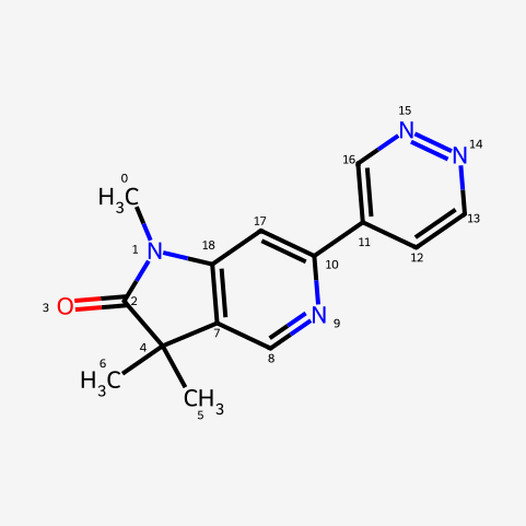 CN1C(=O)C(C)(C)c2cnc(-c3ccnnc3)cc21